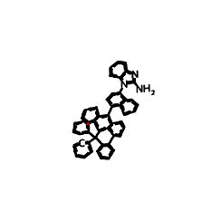 Nc1nc2ccccc2n1-c1ccc(-c2c3ccccc3c3c4c(cccc24)-c2ccccc2C3(c2ccccc2)c2ccccc2)c2ccccc12